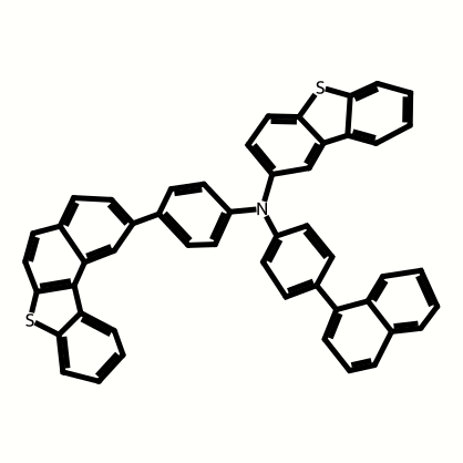 c1ccc2c(-c3ccc(N(c4ccc(-c5ccc6ccc7sc8ccccc8c7c6c5)cc4)c4ccc5sc6ccccc6c5c4)cc3)cccc2c1